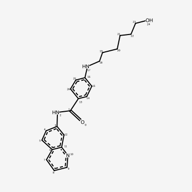 O=C(Nc1ccc2cccnc2c1)c1ccc(NCCCCCCO)cc1